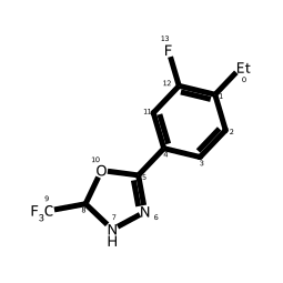 CCc1ccc(C2=NNC(C(F)(F)F)O2)cc1F